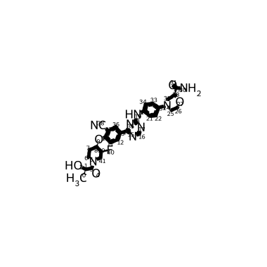 C[C@H](O)C(=O)N1CC[C@H](Oc2ccc(-c3ncnc(Nc4ccc(N5CCO[C@H](C(N)=O)C5)cc4)n3)cc2C#N)[C@@H](F)C1